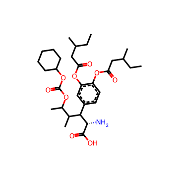 CCC(C)CC(=O)Oc1ccc(C(C(C)C(C)OC(=O)OC2CCCCC2)[C@H](N)C(=O)O)cc1OC(=O)CC(C)CC